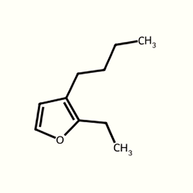 CCCCc1ccoc1CC